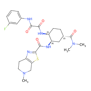 CN1CCc2nc(C(=O)N[C@@H]3C[C@@H](C(=O)N(C)C)CC[C@@H]3NC(=O)C(=O)Nc3cccc(F)c3)sc2C1